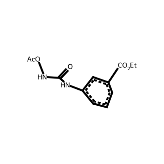 CCOC(=O)c1cccc(NC(=O)NOC(C)=O)c1